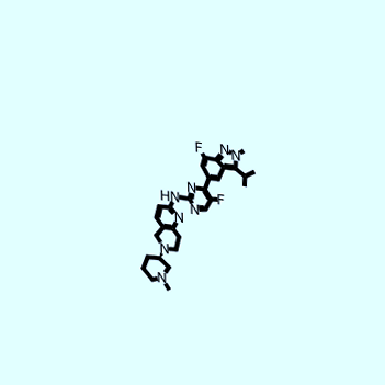 CC(C)c1c2cc(-c3nc(Nc4ccc5c(n4)CCN([C@@H]4CCCN(C)C4)C5)ncc3F)cc(F)c2nn1C